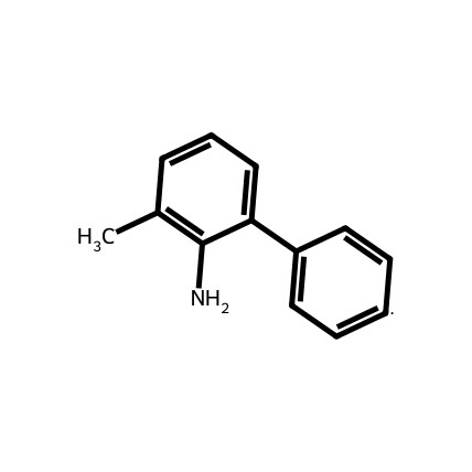 Cc1cccc(-c2cc[c]cc2)c1N